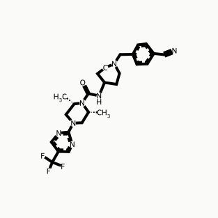 C[C@@H]1CN(c2ncc(C(F)(F)F)cn2)C[C@H](C)N1C(=O)NC1CCN(Cc2ccc(C#N)cc2)CC1